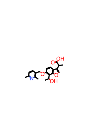 Cc1ccc(COc2ccc3c(C(C)C(=O)O)coc3c2C(C)O)c(C)n1